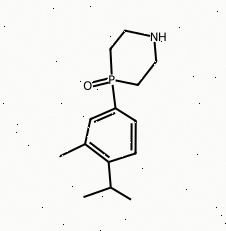 Cc1cc(P2(=O)CCNCC2)ccc1C(C)C